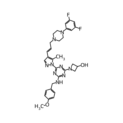 COc1ccc(CNc2nc(N3CC(O)C3)nc(-n3ncc(C=CCN4CCN(c5cc(F)cc(F)c5)CC4)c3C)n2)cc1